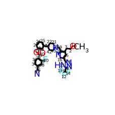 COCCc1cc(-c2nnc(C(F)(F)F)[nH]2)cnc1CN1CCC(c2cccc3c2O[C@@H](c2ccc(C#N)cc2F)O3)CC1